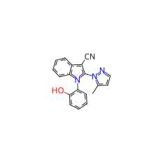 Cc1ccnn1-c1c(C#N)c2ccccc2n1-c1ccccc1O